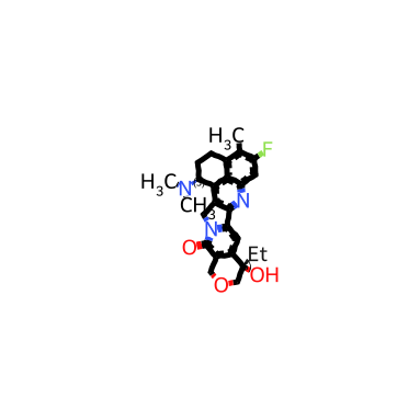 CC[C@@]1(O)COCc2c1cc1n(c2=O)Cc2c-1nc1cc(F)c(C)c3c1c2[C@@H](N(C)C)CC3